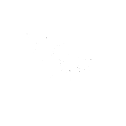 C[C@H](C(=O)n1ccc2cc(F)ccc21)N1CCC1